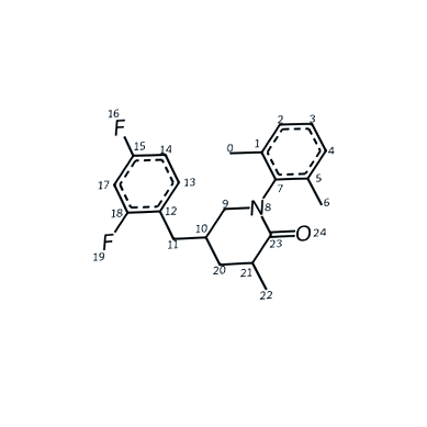 Cc1cccc(C)c1N1CC(Cc2ccc(F)cc2F)CC(C)C1=O